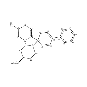 CCCCC[C@H]1CC[C@H](C2(C3=CCC(CC)CC3)C=CC(c3ccccc3)=CC2)CC1